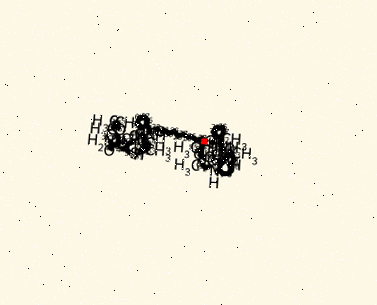 CN(CC(=O)N[C@H]1CCS[C@H]2CC(C)(C)[C@@H](C(=O)N[C@H](COCCCCCCCCCCOC[C@@H](NC(=O)C3N4C(=O)CC(C[C@@H](C(N)=O)N(C)C(=O)OC(C)(C)C)CS[C@H]4CC3(C)C)c3ccccc3)C3(C)C=CC=CC3)N2C1=O)C(=O)OC(C)(C)C